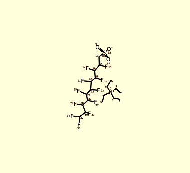 CC[N+](CC)(CC)CC.O=S(=O)([O-])CC(F)C(F)C(F)C(F)C(F)C(F)C(F)C(F)C(F)C(F)F